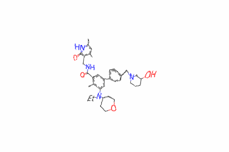 CCN(c1cc(-c2ccc(CN3CCCC(O)C3)cc2)cc(C(=O)NCc2c(C)cc(C)[nH]c2=O)c1C)C1CCOCC1